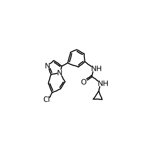 O=C(Nc1cccc(-c2cnc3cc(Cl)ccn23)c1)NC1CC1